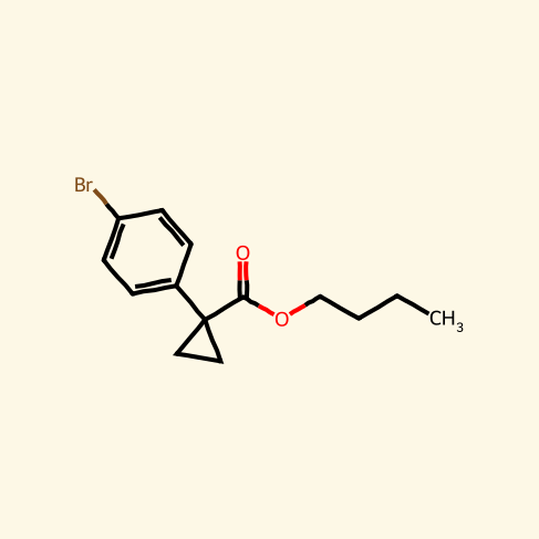 CCCCOC(=O)C1(c2ccc(Br)cc2)CC1